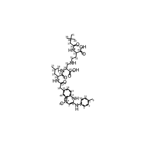 Cc1ccc(N/C(=C/[N+](=O)[O-])Nc2ccc(CC(=O)NC(CC(C)C)C(=O)NC(CNCCC(NC(=O)CC(C)(C)C)C(=O)O)C(=O)O)cc2)cc1